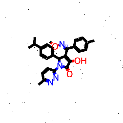 CO/N=C(\C1=C(O)C(=O)N(c2ccc(C)nn2)C1c1ccc(C(C)C)cc1)c1ccc(C)cc1